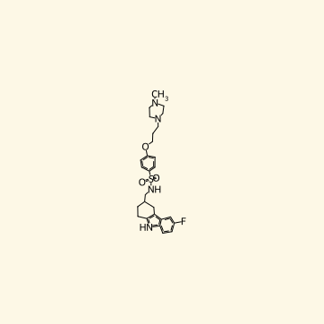 CN1CCN(CCCOc2ccc(S(=O)(=O)NCC3CCc4[nH]c5ccc(F)cc5c4C3)cc2)CC1